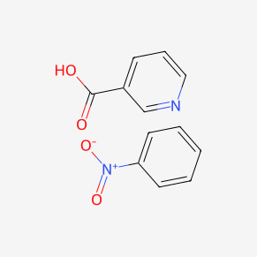 O=C(O)c1cccnc1.O=[N+]([O-])c1ccccc1